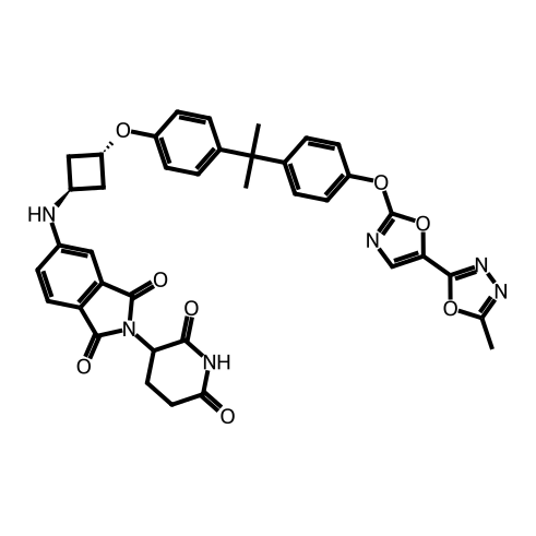 Cc1nnc(-c2cnc(Oc3ccc(C(C)(C)c4ccc(O[C@H]5C[C@H](Nc6ccc7c(c6)C(=O)N(C6CCC(=O)NC6=O)C7=O)C5)cc4)cc3)o2)o1